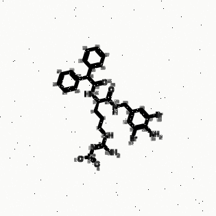 NC(=N[N+](=O)[O-])NCCC[C@@H](NC(=O)C(c1ccccc1)c1ccccc1)C(=O)NCc1cc(Br)c(N)c(Br)c1